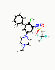 CCN1CCN(c2cc(NS(=O)(=O)CC(F)(F)F)c(Cl)c(-c3ccccc3C)c2)CC1